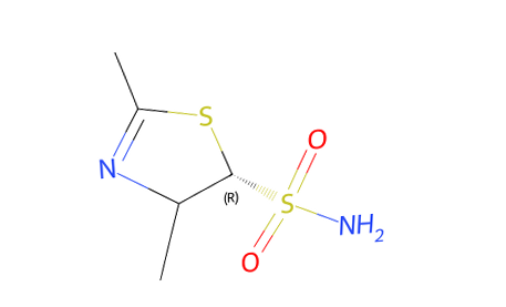 CC1=NC(C)[C@@H](S(N)(=O)=O)S1